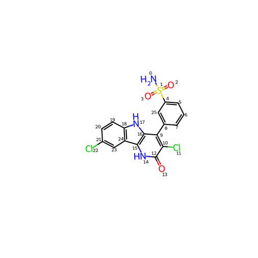 NS(=O)(=O)c1cccc(-c2c(Cl)c(=O)[nH]c3c2[nH]c2ccc(Cl)cc23)c1